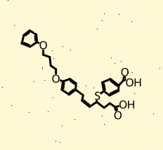 O=C(O)CCC(/C=C\Cc1ccc(OCCCCOc2ccccc2)cc1)Sc1ccc(C(=O)O)cc1